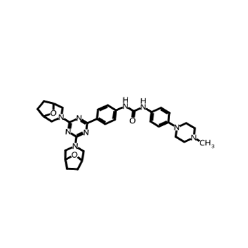 CN1CCN(c2ccc(NC(=O)Nc3ccc(-c4nc(N5CC6CCC(C5)O6)nc(N5CC6CCC(C5)O6)n4)cc3)cc2)CC1